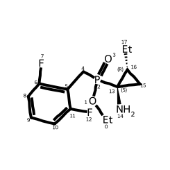 CCOP(=O)(Cc1c(F)cccc1F)[C@@]1(N)C[C@H]1CC